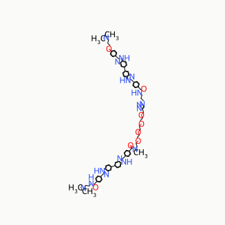 CN(C)CCCOc1ccc(-c2nc3cc(-c4ccc5[nH]c(-c6ccc(C(=O)NCCCn7cc(COCCOCCOCCOCCN(C)C(=O)c8ccc(-c9nc%10cc(-c%11ccc%12[nH]c(-c%13ccc(C(=O)NCCN(C)C)cc%13)nc%12c%11)ccc%10[nH]9)cc8)nn7)cc6)nc5c4)ccc3[nH]2)cc1